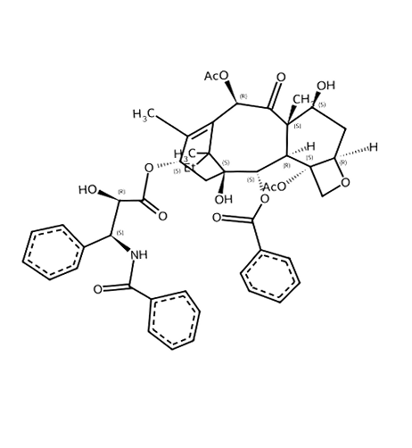 CCC1(C)C2=C(C)[C@@H](OC(=O)[C@H](O)[C@@H](NC(=O)c3ccccc3)c3ccccc3)C[C@@]1(O)[C@@H](OC(=O)c1ccccc1)[C@@H]1[C@]3(OC(C)=O)CO[C@@H]3C[C@H](O)[C@@]1(C)C(=O)[C@@H]2OC(C)=O